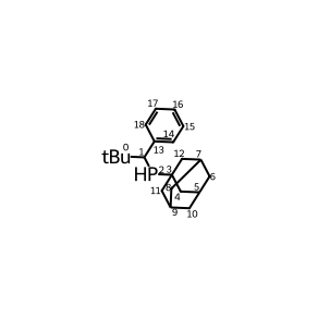 CC(C)(C)C(PC12CC3CC(CC(C3)C1)C2)c1ccccc1